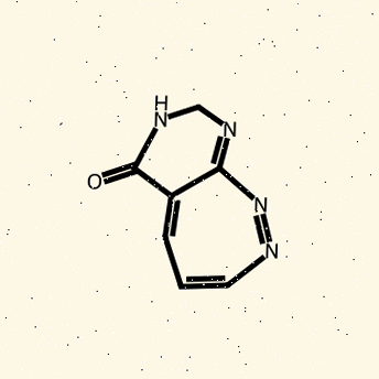 O=C1NCN=C2N=NC=CC=C12